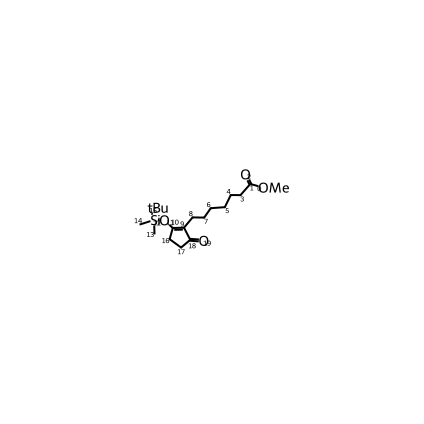 COC(=O)CCCCCCC1=C(O[Si](C)(C)C(C)(C)C)CCC1=O